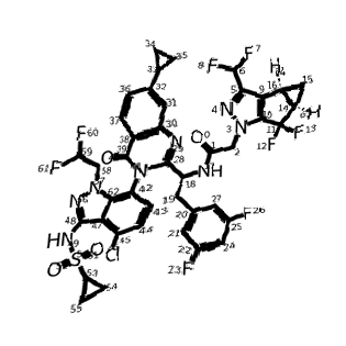 O=C(Cn1nc(C(F)F)c2c1C(F)(F)[C@@H]1C[C@H]21)N[C@@H](Cc1cc(F)cc(F)c1)c1nc2cc(C3CC3)ccc2c(=O)n1-c1ccc(Cl)c2c(NS(=O)(=O)C3CC3)nn(CC(F)F)c12